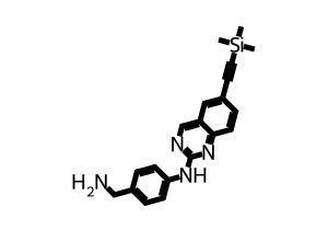 C[Si](C)(C)C#Cc1ccc2nc(Nc3ccc(CN)cc3)ncc2c1